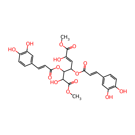 COC(=O)/C(O)=C/C(OC(=O)/C=C/c1ccc(O)c(O)c1)C(OC(=O)/C=C/c1ccc(O)c(O)c1)C(O)C(=O)OC